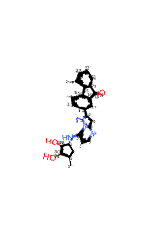 [CH2][C@@H]1C[C@@H](Nc2ccnc3cc(-c4ccc5c(c4)C(=O)c4ccccc4-5)nn23)[C@H](O)[C@@H]1O